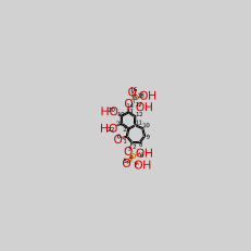 O=c1c(OP(=O)(O)O)cccc2cc(OP(=O)(O)O)c(O)c(O)c12